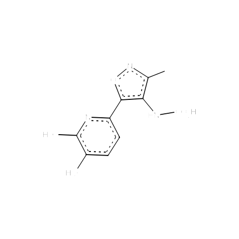 Cc1nc(-c2onc(C)c2NC(=O)O)ccc1O